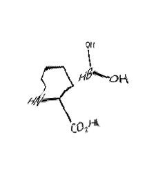 O=C(O)C1CCCN1.OBO